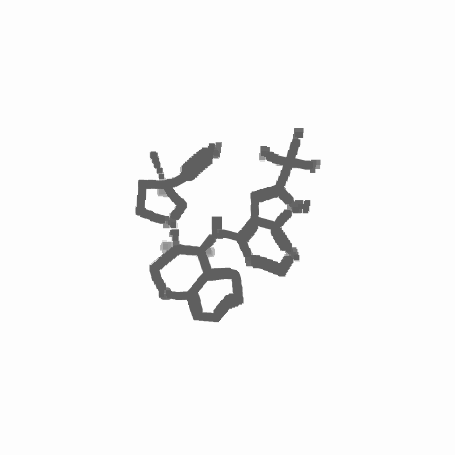 C[C@@]1(C#N)CCN([C@H]2COc3ccccc3[C@@H]2Nc2ncnc3[nH]c(C(F)(F)F)cc23)C1